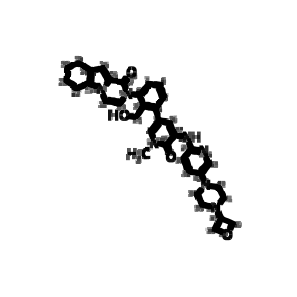 Cn1cc(-c2cccc(-n3ccn4c5c(cc4c3=O)CCCC5)c2CO)cc(Nc2ccc(N3CCN(C4COC4)CC3)cn2)c1=O